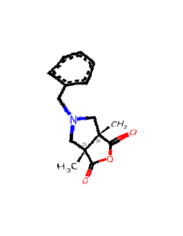 C[C@@]12CN(Cc3ccccc3)C[C@]1(C)C(=O)OC2=O